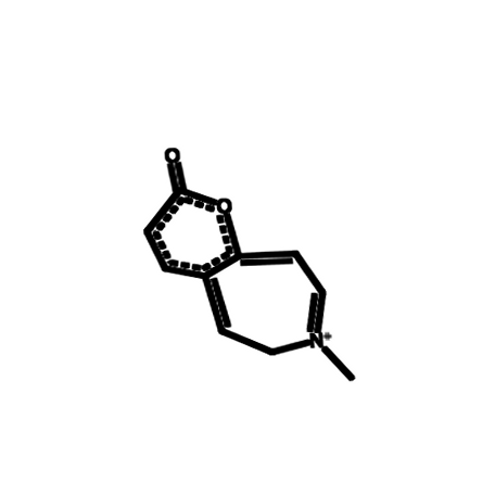 C[N+]1=CC=c2oc(=O)ccc2=CC1